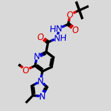 COc1nc(C(=O)NNC(=O)OC(C)(C)C)ccc1-n1cnc(C)c1